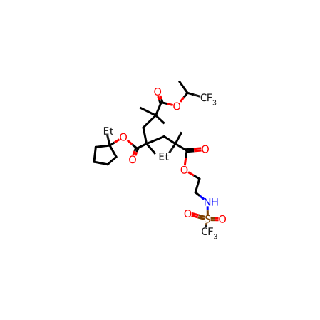 CCC1(OC(=O)C(C)(CC(C)(C)C(=O)OC(C)C(F)(F)F)CC(C)(CC)C(=O)OCCNS(=O)(=O)C(F)(F)F)CCCC1